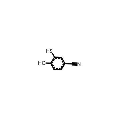 N#Cc1ccc(O)c(S)c1